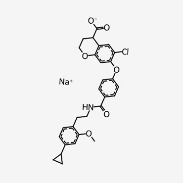 COc1cc(C2CC2)ccc1CCNC(=O)c1ccc(Oc2cc3c(cc2Cl)C(C(=O)[O-])CCO3)cc1.[Na+]